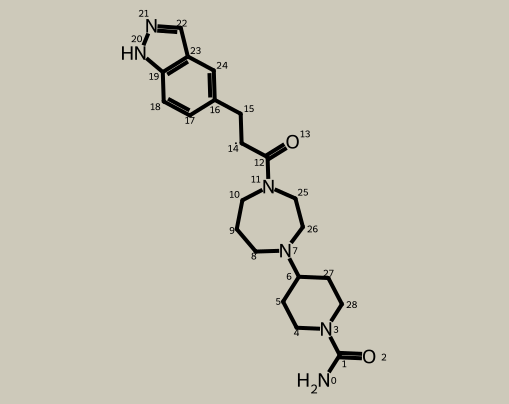 NC(=O)N1CCC(N2CCCN(C(=O)[CH]Cc3ccc4[nH]ncc4c3)CC2)CC1